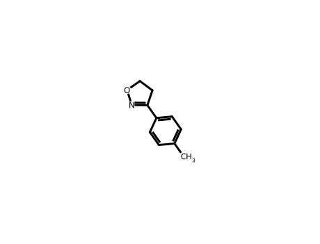 Cc1ccc(C2=NOCC2)cc1